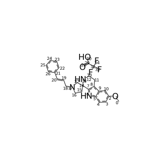 COc1ccc2[nH]c3c(c2c1)CCNC31CCN(CC=Cc2ccccc2)C1.O=C(O)C(F)(F)F